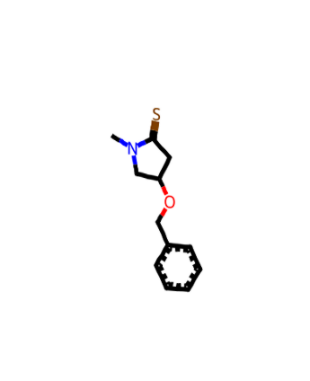 CN1CC(OCc2ccccc2)CC1=S